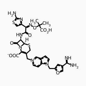 CC(C)(O/N=C(\C(=O)N[C@@H]1C(=O)N2C(C(=O)[O-])=C(C[n+]3ccc4c(ccn4Cc4cc(C(=N)N)co4)c3)CS[C@H]12)c1csc(N)n1)C(=O)O